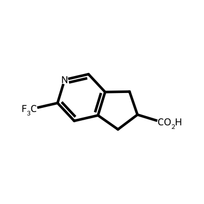 O=C(O)C1Cc2cnc(C(F)(F)F)cc2C1